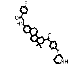 C1=CC=CNC=C1.CC1(C)CC(C(=O)c2ccc(F)cc2)C=c2c1ccc1c2=CCc2cc(NCC(=O)c3ccc(F)cc3)ccc2-1